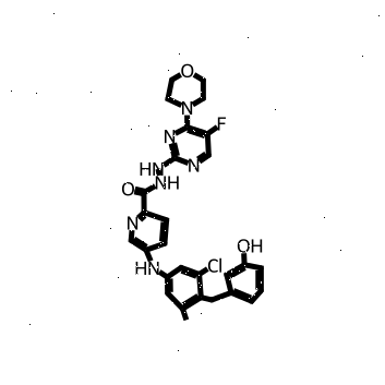 Cc1cc(Nc2ccc(C(=O)NNc3ncc(F)c(N4CCOCC4)n3)nc2)cc(Cl)c1Cc1cccc(O)c1